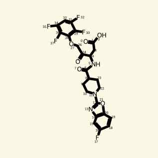 O=C(O)CC(NC(=O)C1CCN(c2nc3cc(F)ccc3o2)CC1)C(=O)COc1c(F)c(F)cc(F)c1F